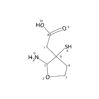 NC1OCCC1(S)CC(=O)O